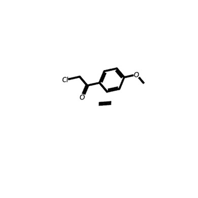 C=C.COc1ccc(C(=O)CCl)cc1